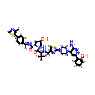 Cc1ncsc1-c1ccc([C@H](C)NC(=O)[C@@H]2C[C@@H](O)CN2C(=O)C(NC(=O)c2csc(N3CCN(c4cc(-c5ccccc5O)nnc4N)CC3)n2)C(C)(C)C)cc1